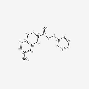 O=C(CCc1ccccc1)N1CCc2ccc([N+](=O)[O-])cc2C1